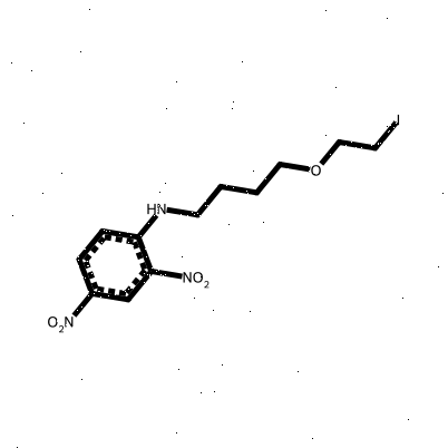 O=[N+]([O-])c1ccc(NCCCCOCCI)c([N+](=O)[O-])c1